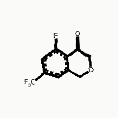 O=C1COCc2cc(C(F)(F)F)cc(F)c21